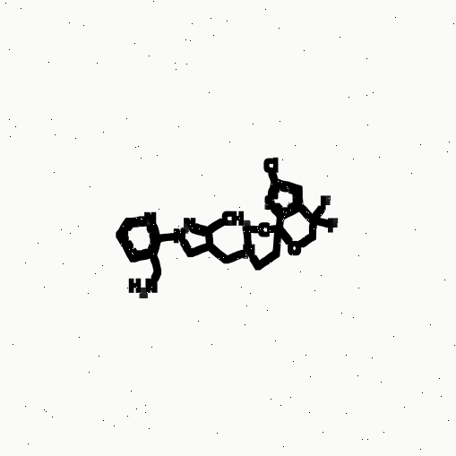 CC1=NN(c2ncccc2CN)CC1CN1CCC2(CC1)OCC(F)(F)c1cc(Cl)sc12